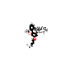 C=CCOc1cc(OC(C)C)c(-c2ccccc2OC)c(C(=O)O)c1